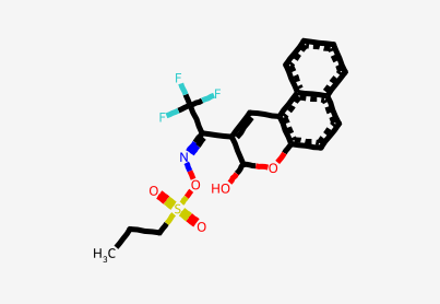 CCCS(=O)(=O)O/N=C(\C1=Cc2c(ccc3ccccc23)OC1O)C(F)(F)F